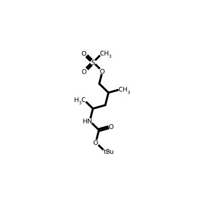 CC(COS(C)(=O)=O)CC(C)NC(=O)OC(C)(C)C